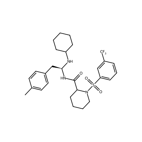 Cc1ccc(C[C@H](NC(=O)C2CCCCN2S(=O)(=O)c2cccc(C(F)(F)F)c2)NC2CCCCC2)cc1